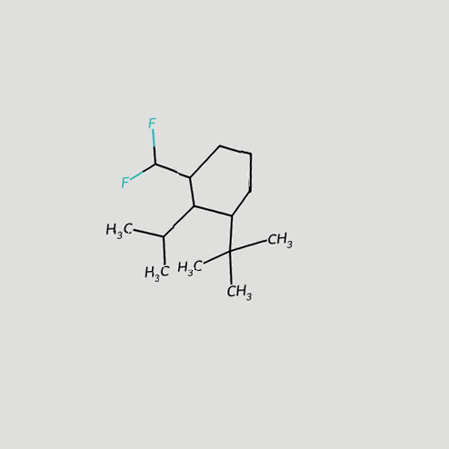 CC(C)C1C(C(F)F)CCCC1C(C)(C)C